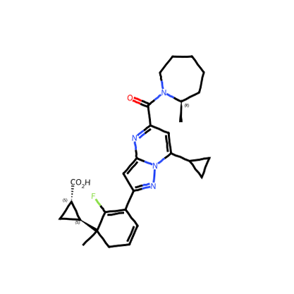 C[C@@H]1CCCCCN1C(=O)c1cc(C2CC2)n2nc(C3=C(F)C(C)([C@H]4C[C@@H]4C(=O)O)CC=C3)cc2n1